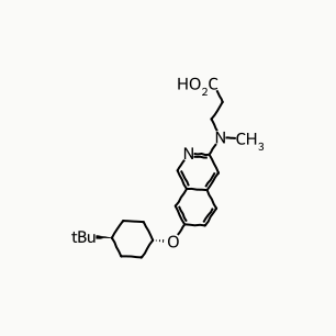 CN(CCC(=O)O)c1cc2ccc(O[C@H]3CC[C@H](C(C)(C)C)CC3)cc2cn1